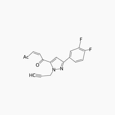 C#CCn1nc(-c2ccc(F)c(F)c2)cc1C(=O)/C=C\C(C)=O